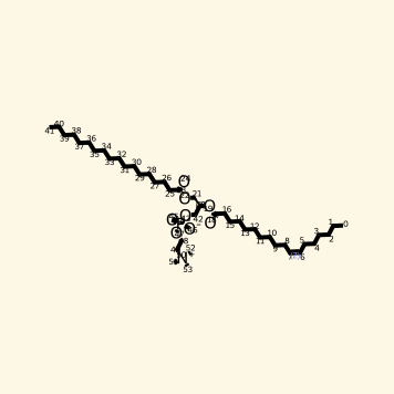 CCCCCC/C=C\CCCCCCCCCC(=O)O[C@H](COC(=O)CCCCCCCCCCCCCCCCC)COP(=O)([O-])OCC[N+](C)(C)C